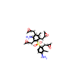 Cc1c(N)ccc(S(=O)(=O)c2c(CC3CO3)c(C)c(CC3CO3)c(N)c2CC2CO2)c1CC1CO1